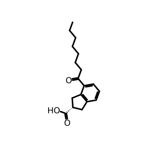 CCCCCCCC(=O)c1cccc2c1C[C@@H](C(=O)O)C2